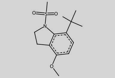 COc1ccc(C(C)(C)C)c2c1CCN2S(C)(=O)=O